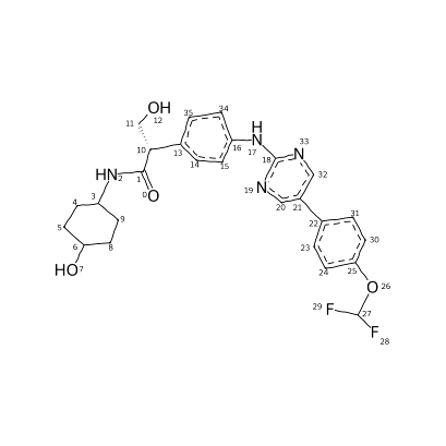 O=C(NC1CCC(O)CC1)[C@H](CO)c1ccc(Nc2ncc(-c3ccc(OC(F)F)cc3)cn2)cc1